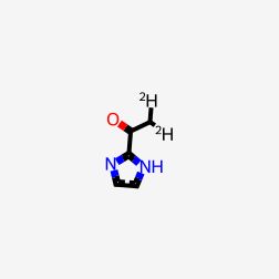 [2H]C([2H])C(=O)c1ncc[nH]1